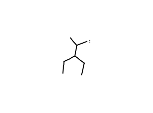 [CH]C(C)C(CC)CC